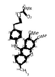 CNC(=O)OCCc1ccc(Nc2c3ccc(C)cc3nc3cc(OC)c(OC)cc23)cc1